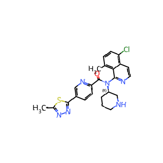 Cc1nnc(-c2ccc(C(=O)N(c3nccc4c(Cl)ccc(C)c34)[C@@H]3CCCNC3)nc2)s1